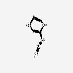 O=C=NC1=COC=CO1